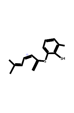 C=C(/C=C\C=C(C)C)Sc1cccc(C)c1S